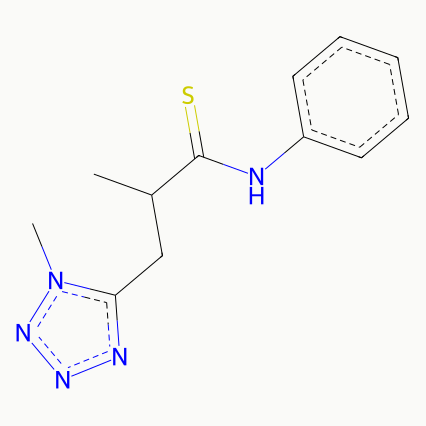 CC(Cc1nnnn1C)C(=S)Nc1ccccc1